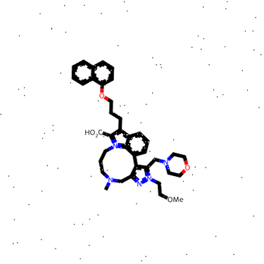 COCCn1nc2c(c1CN1CCOCC1)-c1cccc3c(CCCOc4cccc5ccccc45)c(C(=O)O)n(c13)CCCN(C)C2